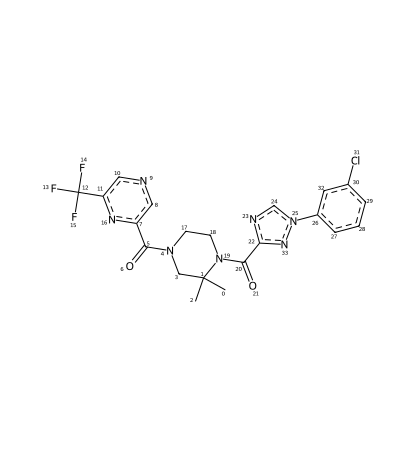 CC1(C)CN(C(=O)c2cncc(C(F)(F)F)n2)CCN1C(=O)c1ncn(-c2cccc(Cl)c2)n1